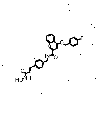 O=C(/C=C/c1ccc(CNC(=O)c2cc(OCc3ccc(F)cc3)c3ccccc3n2)cc1)NO